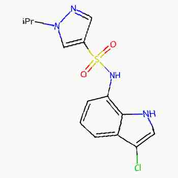 CC(C)n1cc(S(=O)(=O)Nc2cccc3c(Cl)c[nH]c23)cn1